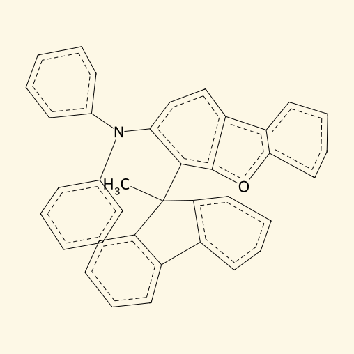 CC1(c2c(N(c3ccccc3)c3ccccc3)ccc3c2oc2ccccc23)c2ccccc2-c2ccccc21